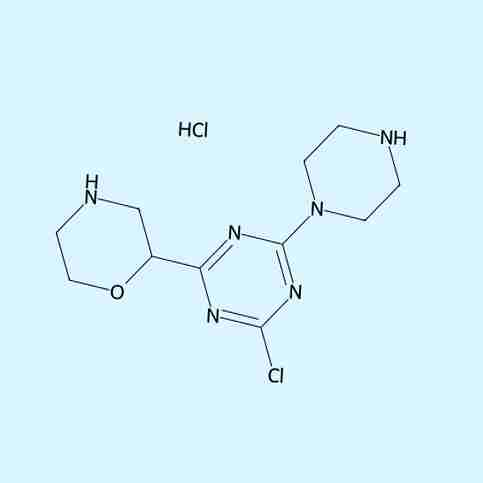 Cl.Clc1nc(C2CNCCO2)nc(N2CCNCC2)n1